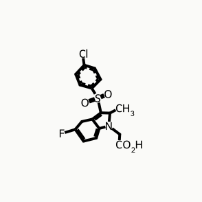 CC1C(S(=O)(=O)c2ccc(Cl)cc2)=C2CC(F)=CC=C2N1CC(=O)O